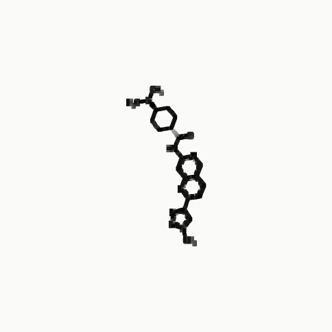 Cn1cc(-c2ccc3cnc(NC(=O)[C@H]4CC[C@H](N(C)C)CC4)cc3n2)nn1